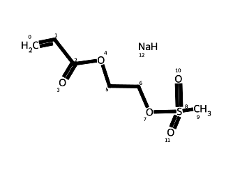 C=CC(=O)OCCOS(C)(=O)=O.[NaH]